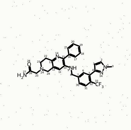 Cn1ccc(-c2cc(CNc3cc4c(nc3-c3ccccc3)CCN(CC(N)=O)C4)ccc2C(F)(F)F)n1